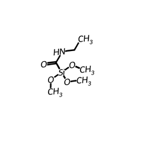 CCNC(=O)[Si](OC)(OC)OC